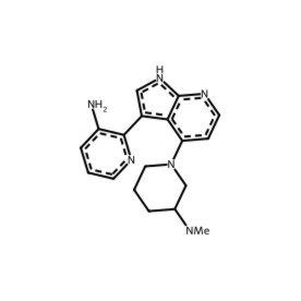 CNC1CCCN(c2ccnc3[nH]cc(-c4ncccc4N)c23)C1